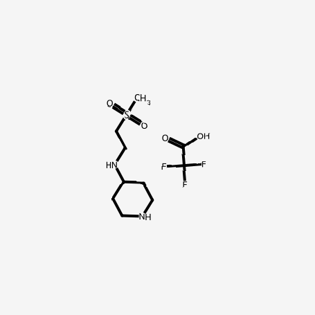 CS(=O)(=O)CCNC1CCNCC1.O=C(O)C(F)(F)F